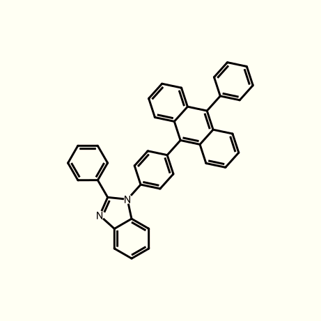 c1ccc(-c2c3ccccc3c(-c3ccc(-n4c(-c5ccccc5)nc5ccccc54)cc3)c3ccccc23)cc1